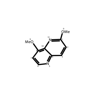 COc1ccc2nccc(OC)c2n1